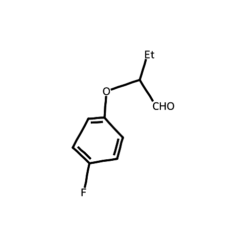 CCC(C=O)Oc1ccc(F)cc1